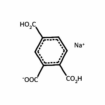 O=C(O)c1ccc(C(=O)O)c(C(=O)[O-])c1.[Na+]